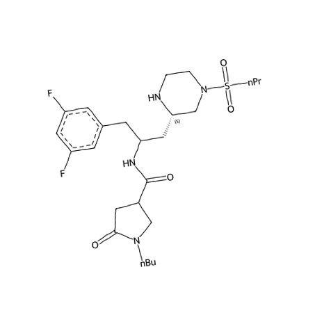 CCCCN1CC(C(=O)NC(Cc2cc(F)cc(F)c2)C[C@H]2CN(S(=O)(=O)CCC)CCN2)CC1=O